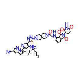 CC(C)Nc1cc(-c2ccc3cc(C#N)cnn23)ncc1-c1nnc(N2CCC3(CCN(C(=O)CNc4cccc5c4C(=O)N(C4CCC(=O)NC4=O)C5=O)CC3)CC2)s1